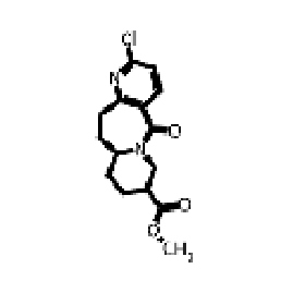 COC(=O)C1CCC2CCc3nc(Cl)ccc3C(=O)N2C1